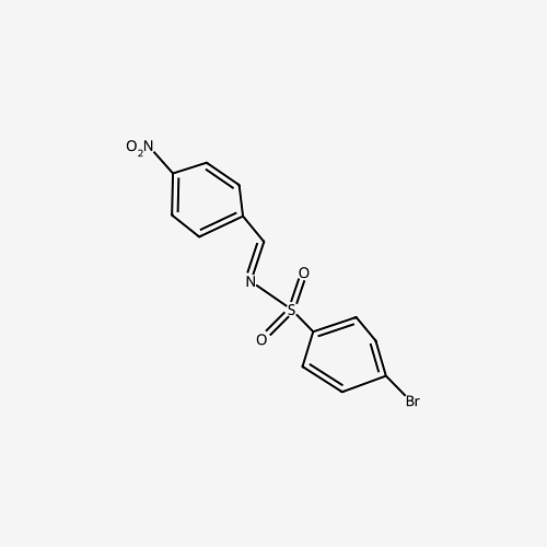 O=[N+]([O-])c1ccc(C=NS(=O)(=O)c2ccc(Br)cc2)cc1